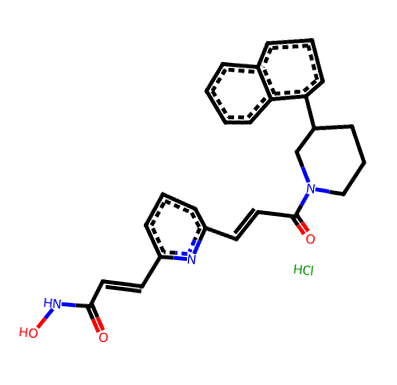 Cl.O=C(C=Cc1cccc(C=CC(=O)N2CCCC(c3cccc4ccccc34)C2)n1)NO